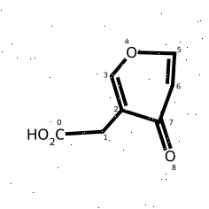 O=C(O)Cc1coccc1=O